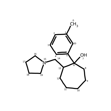 Cc1cccc(C2(O)CCCCCC2CN2CCCC2)c1